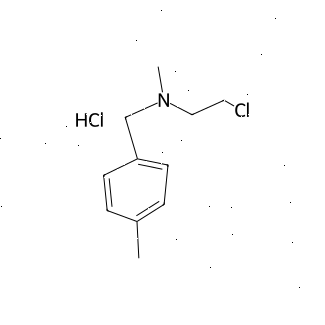 Cc1ccc(CN(C)CCCl)cc1.Cl